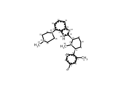 Cc1cc(F)cnc1[C@@H]1CCC[C@H](c2nc3cccc(N4CCN(C)CC4)c3[nH]2)N1C